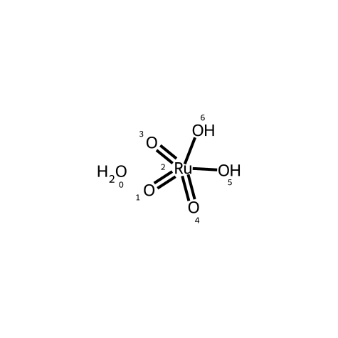 O.[O]=[Ru](=[O])(=[O])([OH])[OH]